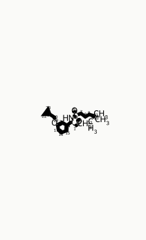 CC[C@@H](NS(=O)(=O)CCCC(C)(C)C)c1cccc(OCC2CC2)c1